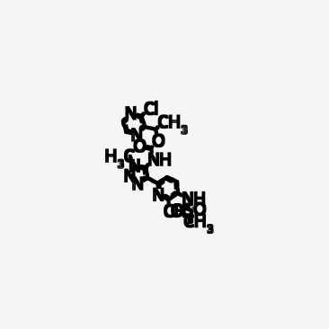 Cc1nc(-c2nnn(C)c2NC(=O)OC(C)c2nccnc2Cl)ccc1NS(C)(=O)=O